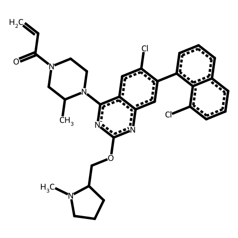 C=CC(=O)N1CCN(c2nc(OCC3CCCN3C)nc3cc(-c4cccc5cccc(Cl)c45)c(Cl)cc23)C(C)C1